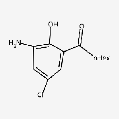 CCCCCCC(=O)c1cc(Cl)cc(N)c1O